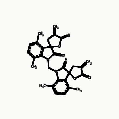 C=C1CC2(OC1=O)C(=O)N(CN1C(=O)C3(CC(=C)C(=O)O3)c3c(C)ccc(C)c31)c1c(C)ccc(C)c12